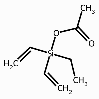 C=C[Si](C=C)(CC)OC(C)=O